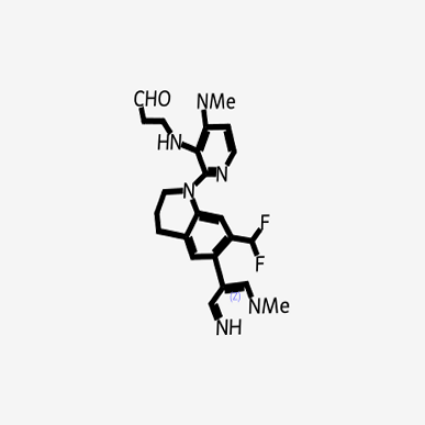 CN/C=C(\C=N)c1cc2c(cc1C(F)F)N(c1nccc(NC)c1NCCC=O)CCC2